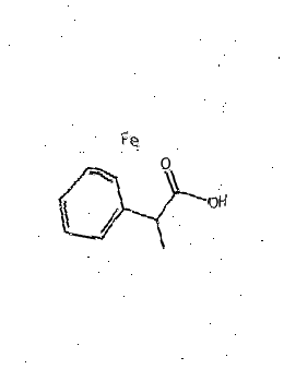 CC(C(=O)O)c1ccccc1.[Fe]